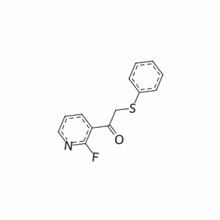 O=C(CSc1ccccc1)c1cccnc1F